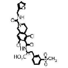 CS(=O)(=O)c1cccc(C[C@H](NC(=O)c2c(Cl)cc3c(c2Cl)CCN(C(=O)NCc2ccco2)C3)C(=O)O)c1